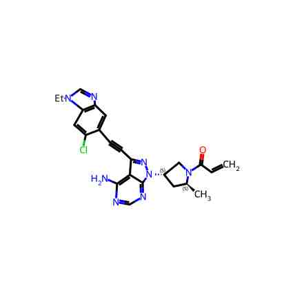 C=CC(=O)N1C[C@@H](n2nc(C#Cc3cc4ncn(CC)c4cc3Cl)c3c(N)ncnc32)C[C@@H]1C